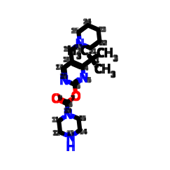 CC(C)(C)c1nc(OC(=O)N2CCNCC2)ncc1CN1CCCCC1